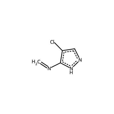 C=Nc1[nH]ncc1Cl